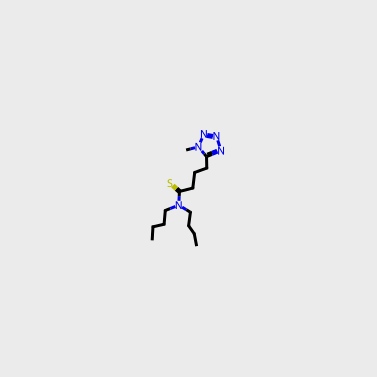 CCCCN(CCCC)C(=S)CCCc1nnnn1C